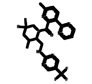 Cc1ccc(-c2ncccn2)c(C(=O)N2CC(F)(F)CC(C)C2CNc2ncc(C(F)(F)F)cn2)n1